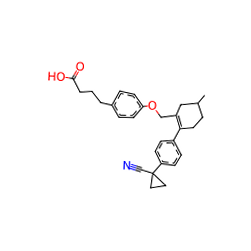 CC1CCC(c2ccc(C3(C#N)CC3)cc2)=C(COc2ccc(CCCC(=O)O)cc2)C1